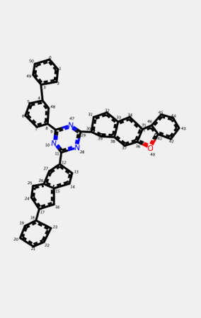 c1ccc(-c2cccc(-c3nc(-c4ccc5cc(-c6ccccc6)ccc5c4)nc(-c4ccc5cc6c(cc5c4)oc4ccccc46)n3)c2)cc1